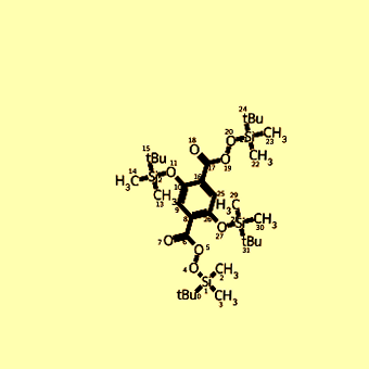 CC(C)(C)[Si](C)(C)OOC(=O)c1cc(O[Si](C)(C)C(C)(C)C)c(C(=O)OO[Si](C)(C)C(C)(C)C)cc1O[Si](C)(C)C(C)(C)C